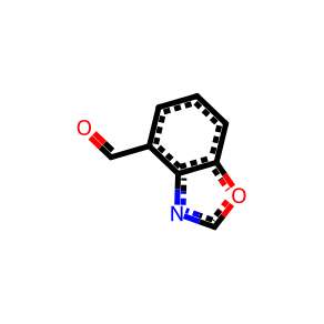 O=Cc1cccc2ocnc12